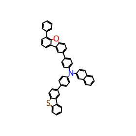 c1ccc(-c2cccc3c2oc2ccc(-c4ccc(N(c5ccc(-c6ccc7sc8ccccc8c7c6)cc5)c5ccc6ccccc6c5)cc4)cc23)cc1